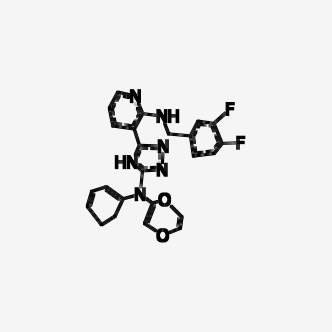 Fc1ccc(CNc2ncccc2-c2nnc(N(C3=CC=CCC3)C3=COC=CO3)[nH]2)cc1F